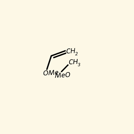 C=COC.COC